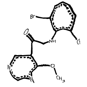 COc1ncncc1C(=O)Nc1c(Cl)cccc1Br